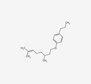 CCCc1ccc(OCCC(C)CCC=C(C)C)cc1